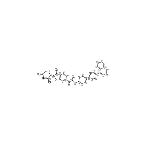 O=C1CCC(N2Cc3cc(NC(=O)CC4CCN(c5ccc(-c6cccc7ccccc67)cn5)CC4)ccc3C2=O)C(=O)N1